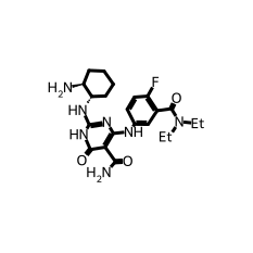 CCN(CC)C(=O)c1cc(Nc2nc(N[C@H]3CCCC[C@@H]3N)[nH]c(=O)c2C(N)=O)ccc1F